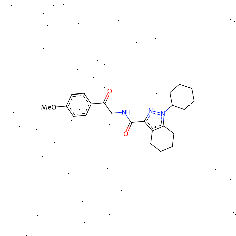 COc1ccc(C(=O)CNC(=O)c2nn(C3CCCCC3)c3c2CCCC3)cc1